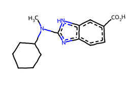 CN(c1nc2ccc(C(=O)O)cc2[nH]1)C1CCCCC1